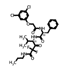 CCCNC(=O)C(F)(F)C(=O)[C@@H](NC(=O)[C@H](Cc1ccccc1)NC(=O)COc1cc(Cl)cc(Cl)c1)C(C)C